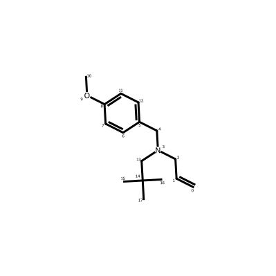 C=CCN(Cc1ccc(OC)cc1)CC(C)(C)C